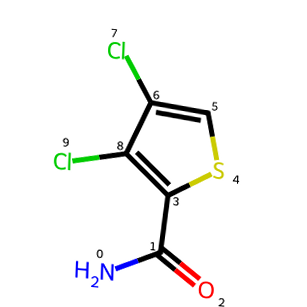 NC(=O)c1scc(Cl)c1Cl